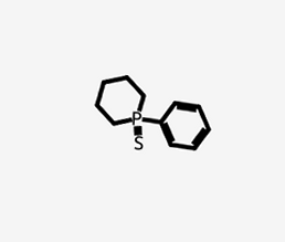 S=P1(c2ccccc2)CCCCC1